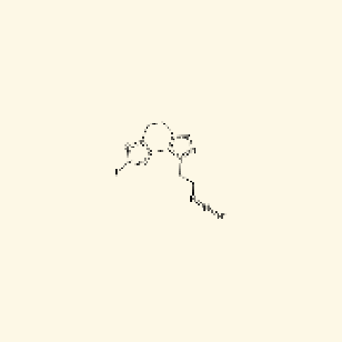 [N-]=[N+]=NCCn1ncc2c1-c1cc(I)sc1CC2